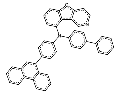 c1ccc(-c2ccc(N(c3ccc(-c4cc5ccccc5c5ccccc45)cc3)c3cccc4oc5ccncc5c34)cc2)cc1